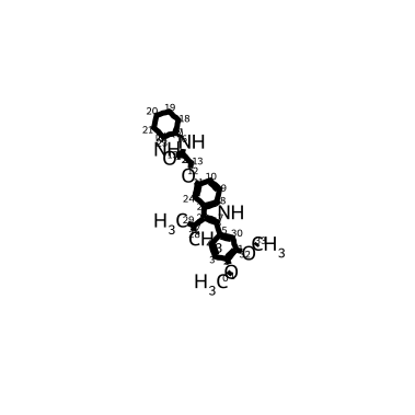 COc1ccc(-c2[nH]c3ccc(OCC(=O)N[C@@H]4CCCC[C@H]4N)cc3c2C(C)C)cc1OC